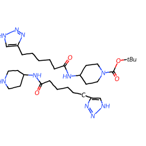 CC(C)(C)OC(=O)N1CCC(NC(=O)CCCCCc2c[nH]nn2)CC1.O=C(CCCCCc1c[nH]nn1)NC1CCNCC1